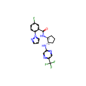 O=C(N[C@H]1CCC[C@@H]1Nc1cnc(C(F)(F)F)cn1)c1cc(F)ccc1-n1cccn1